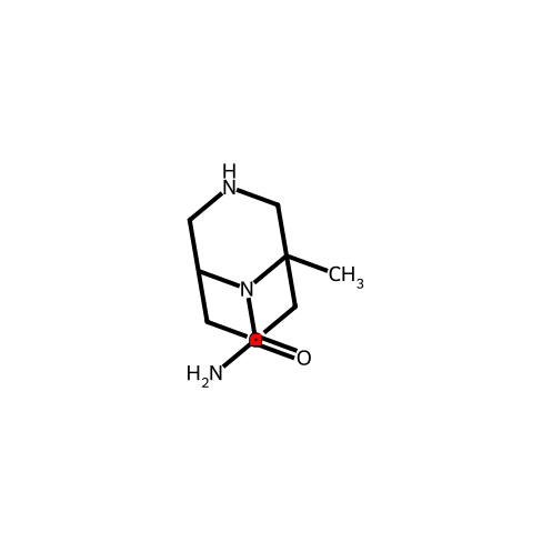 CC12CNCC(COC1)N2C(N)=O